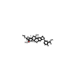 CCC[C@@H]1O[C@@H]2C[C@H]3[C@@H]4CCC5=Cc6c(cnn6-c6ccc(F)c(C(=O)OC)c6)C[C@]5(C)[C@H]4[C@@H](O)C[C@]3(C)[C@]2(C(=O)CO)O1